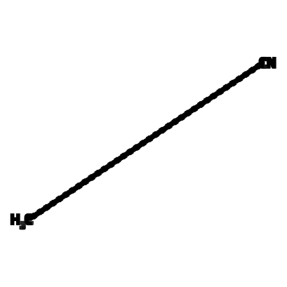 CC#CC#CC#CC#CC#CC#CC#CC#CC#CC#CC#CC#CC#CC#CC#CC#CC#CC#CC#CC#CC#CC#CC#CC#CC#CC#CC#CC#CC#CC#CC#CC#CC#CC#CC#CC#CC#N